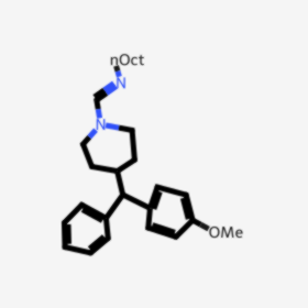 CCCCCCCC/N=C/N1CCC(C(c2ccccc2)c2ccc(OC)cc2)CC1